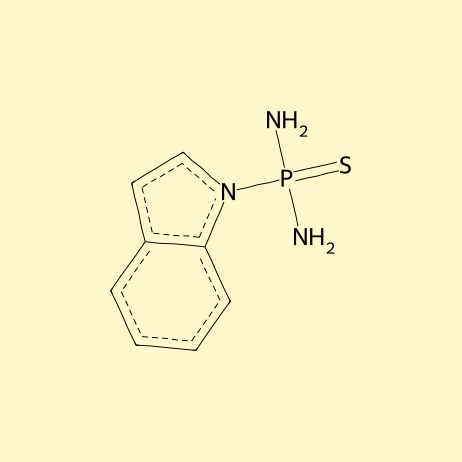 NP(N)(=S)n1ccc2ccccc21